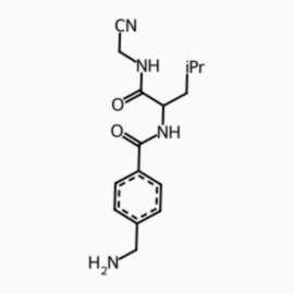 CC(C)CC(NC(=O)c1ccc(CN)cc1)C(=O)NCC#N